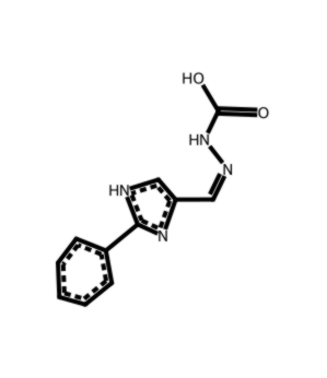 O=C(O)N/N=C\c1c[nH]c(-c2ccccc2)n1